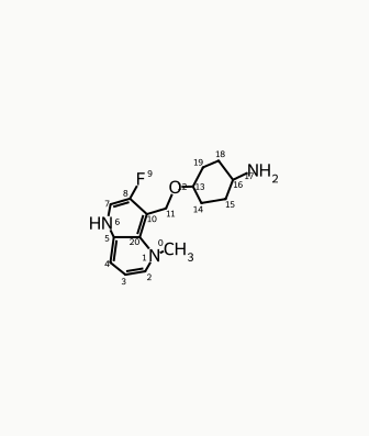 CN1C=CC=C2NC=C(F)C(COC3CCC(N)CC3)=C21